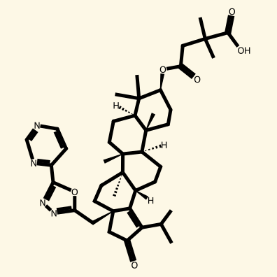 CC(C)C1=C2[C@H]3CC[C@@H]4[C@@]5(C)CC[C@H](OC(=O)CC(C)(C)C(=O)O)C(C)(C)[C@@H]5CC[C@@]4(C)[C@]3(C)CC[C@@]2(Cc2nnc(-c3ccncn3)o2)CC1=O